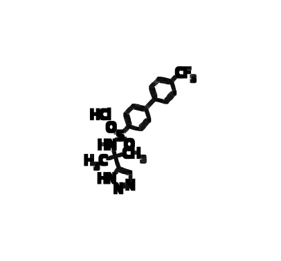 CC(C)(NS(=O)(=O)c1ccc(-c2ccc(C(F)(F)F)cc2)cc1)c1cnn[nH]1.Cl